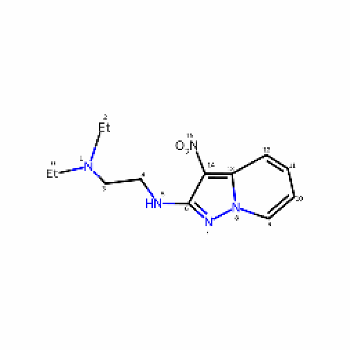 CCN(CC)CCNc1nn2ccccc2c1[N+](=O)[O-]